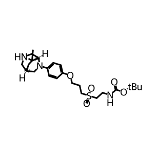 CC(C)(C)OC(=O)NCCS(=O)(=O)CCCOc1ccc(N2C[C@H]3CNC[C@@H]2C(C)(C)C3)cc1